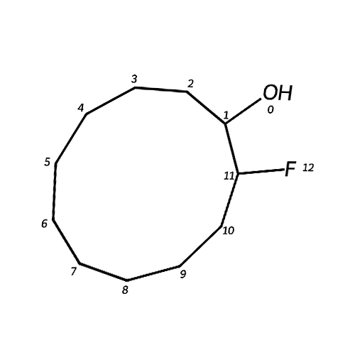 OC1CCCCCCCCCC1F